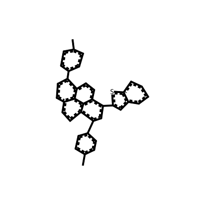 Cc1ccc(-c2ccc3ccc4c(-c5ccc(C)cc5)cc(-c5cc6ccccc6s5)c5ccc2c3c45)cc1